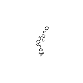 Cc1cn(Cc2ccc(C(F)(F)F)cc2)c2cc(C3C(=O)c4ccc(OCc5ccccc5)cc4C3=O)ccc12